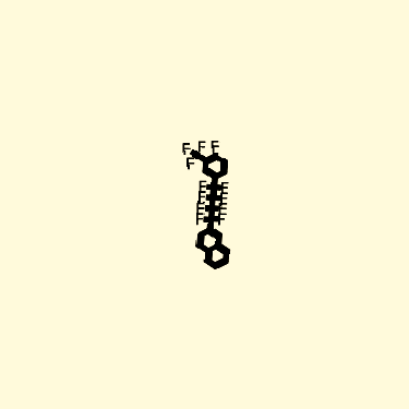 Fc1ccc(C(F)(F)C(F)(F)C(F)(F)C(F)(F)c2ccc3ccccc3c2)cc1C(F)(F)F